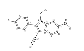 CCn1c(-c2ccc(C)cc2)c(C#N)c2ccc(OC)cc21